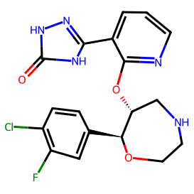 O=c1[nH]nc(-c2cccnc2O[C@@H]2CNCCO[C@H]2c2ccc(Cl)c(F)c2)[nH]1